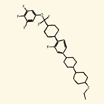 CCSC1CCC(C2CCC(c3ccc(C4CCC(C(F)(F)Oc5cc(F)c(F)c(F)c5)CC4)c(F)c3)CC2)CC1